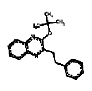 CC(C)(C)Oc1nc2ccccc2nc1CCc1ccccc1